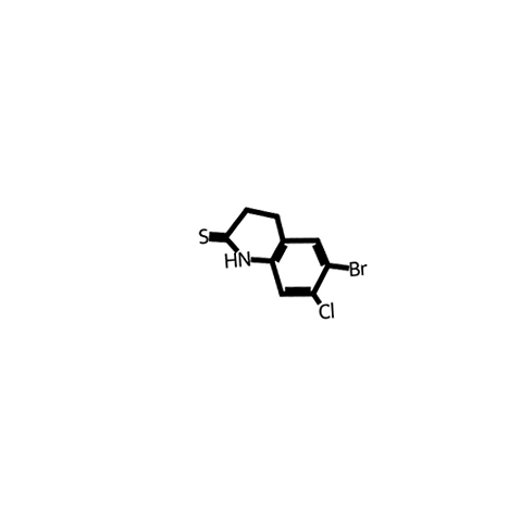 S=C1CCc2cc(Br)c(Cl)cc2N1